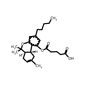 CCCCCc1cc(OC(=O)CCCC(=O)O)c2c(c1)OC(C)(C)[C@@H]1CC=C(C)C[C@@H]21